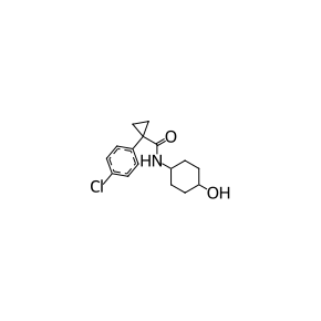 O=C(NC1CCC(O)CC1)C1(c2ccc(Cl)cc2)CC1